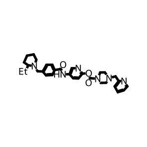 CCC1CCCCN1Cc1ccc(C(=O)Nc2ccc(OC(=O)N3CCN(Cc4ccccn4)CC3)nc2)cc1